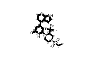 CCS(=O)(=O)N1CCN(c2cc(-c3ccnc4[nH]ccc34)cc(=O)[nH]2)C(C(F)(F)F)C1